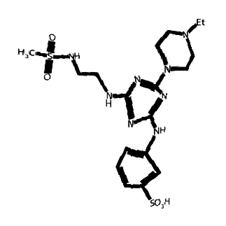 CCN1CCN(c2nc(NCCNS(C)(=O)=O)nc(Nc3cccc(S(=O)(=O)O)c3)n2)CC1